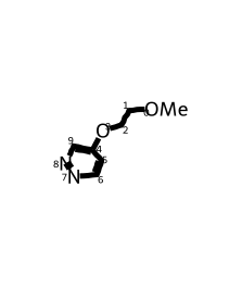 COCCOc1ccnnc1